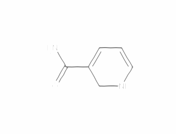 NC(=O)C1=CC=CNC1